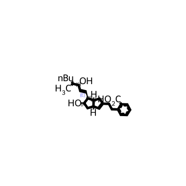 CCCCC(C)[C@H](O)/C=C/[C@H]1[C@H]2CC(CCc3ccccc3C(=O)O)=C[C@H]2C[C@H]1O